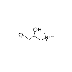 C[N+](C)(C)C[C](O)CCl